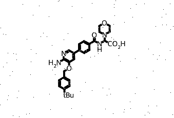 CC(C)(C)c1ccc(COc2cc(-c3ccc(C(=O)NC(C(=O)O)N4CCOCC4)cc3)cnc2N)cc1